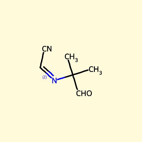 CC(C)(C=O)/N=C\C#N